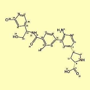 Nc1ncc([C@@H]2CN[C@H](C(=O)O)C2)cc1-c1ccc(C(=O)NC(CO)c2cccc(Cl)c2)c(F)c1